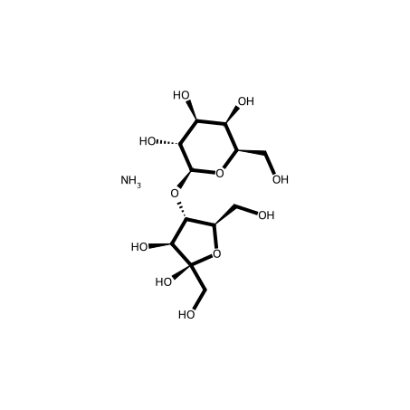 N.OC[C@H]1O[C@@H](O[C@@H]2[C@@H](CO)O[C@](O)(CO)[C@H]2O)[C@H](O)[C@@H](O)[C@H]1O